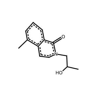 Cc1cccc2c(=O)n(CC(C)O)ccc12